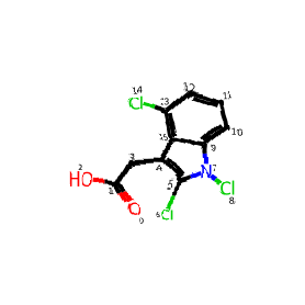 O=C(O)Cc1c(Cl)n(Cl)c2cccc(Cl)c12